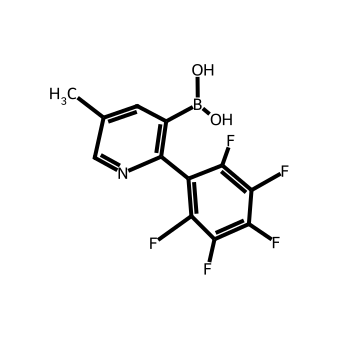 Cc1cnc(-c2c(F)c(F)c(F)c(F)c2F)c(B(O)O)c1